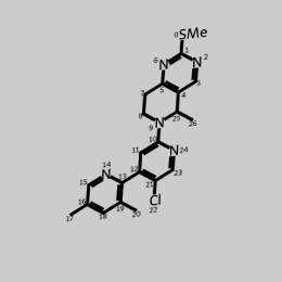 CSc1ncc2c(n1)CCN(c1cc(-c3ncc(C)cc3C)c(Cl)cn1)C2C